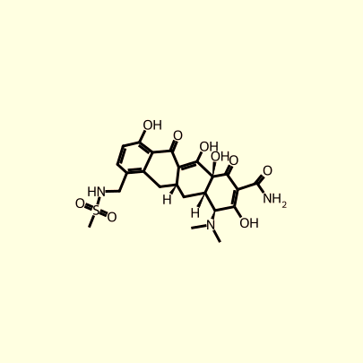 CN(C)[C@@H]1C(O)=C(C(N)=O)C(=O)[C@@]2(O)C(O)=C3C(=O)c4c(O)ccc(CNS(C)(=O)=O)c4C[C@H]3C[C@@H]12